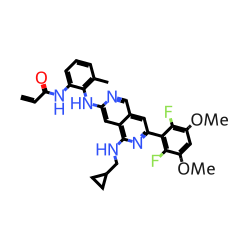 C=CC(=O)Nc1cccc(C)c1Nc1cc2c(NCC3CC3)nc(-c3c(F)c(OC)cc(OC)c3F)cc2cn1